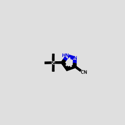 C[Si](C)(C)c1cc(C#N)n[nH]1